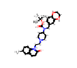 Cc1ccc2c(ccc(=O)n2CCN2CCC(N(Cc3ccc4c(c3)OCCO4)C(=O)OC(C)(C)C)CC2)c1